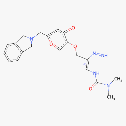 CN(C)C(=O)N/C=C(/COc1coc(CN2Cc3ccccc3C2)cc1=O)N=N